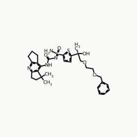 CC1(C)CCc2nc3c(c(NC(=O)N=S(N)(=O)c4ccc([C@](C)(O)COCCOCc5ccccc5)s4)c21)CCC3